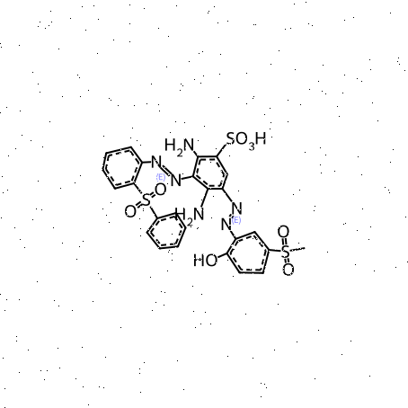 CS(=O)(=O)c1ccc(O)c(/N=N/c2cc(S(=O)(=O)O)c(N)c(/N=N/c3ccccc3S(=O)(=O)c3ccccc3)c2N)c1